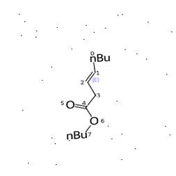 CCCC/C=C/CC(=O)OCCCC